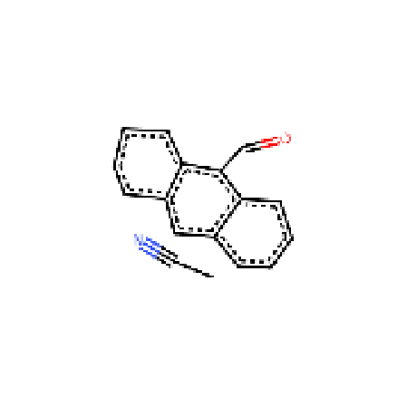 CC#N.O=Cc1c2ccccc2cc2ccccc12